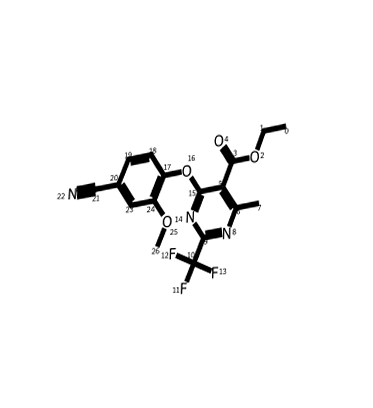 CCOC(=O)c1c(C)nc(C(F)(F)F)nc1Oc1ccc(C#N)cc1OC